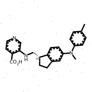 Cc1ccc(N(C)c2ccc3c(c2)CC[C@@H]3CNc2cnccc2C(=O)O)cc1